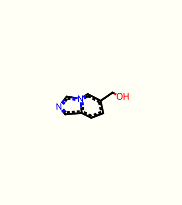 OCc1ccc2cncn2c1